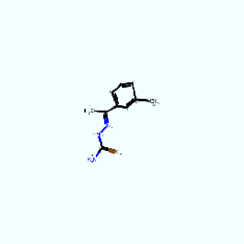 CC(=NNC(N)=S)c1cccc(C)c1